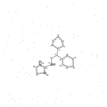 B(CC(c1ccccc1)c1ccccc1)c1ncc[nH]1